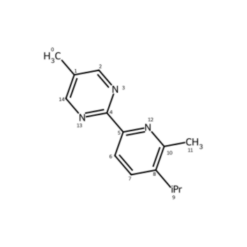 Cc1cnc(-c2ccc(C(C)C)c(C)n2)nc1